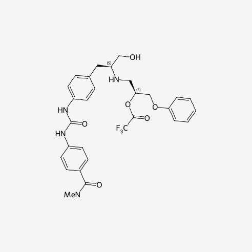 CNC(=O)c1ccc(NC(=O)Nc2ccc(C[C@@H](CO)NC[C@@H](COc3ccccc3)OC(=O)C(F)(F)F)cc2)cc1